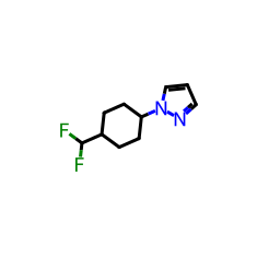 FC(F)C1CCC(n2cccn2)CC1